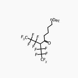 CCCCCCCCCCCCCCC(=O)C(C(F)(F)C(F)(F)C(F)(F)F)C(F)(F)C(F)(F)C(F)(F)F